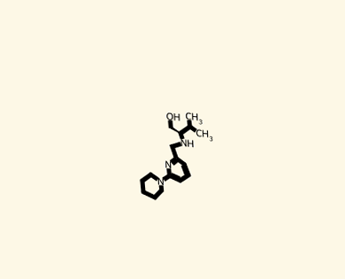 CC(C)[C@H](CO)NCc1cccc(N2CCCCC2)n1